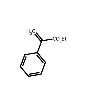 C=C(C(=O)OCC)c1cc[c]cc1